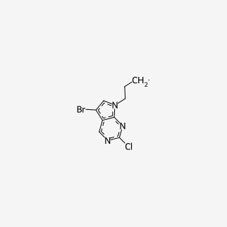 [CH2]CCn1cc(Br)c2cnc(Cl)nc21